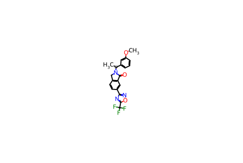 COc1cccc([C@H](C)N2Cc3ccc(-c4noc(C(F)(F)F)n4)cc3C2=O)c1